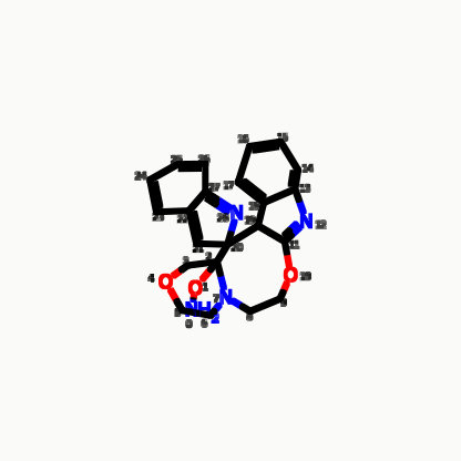 NOC12COCCN1CCOC1=Nc3ccccc3C1C21C=c2ccccc2=N1